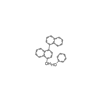 Oc1ccc(-c2cccc3ccccc23)c2ccccc12.Oc1ccccc1